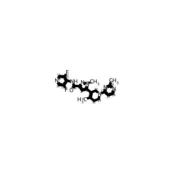 CC1=C(c2cc(C(=O)Nc3c(F)cncc3F)nn2C)CN(c2ccnc(C)n2)CC1